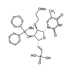 COCCO[C@@H]1[C@H](O[Si](c2ccccc2)(c2ccccc2)C(C)(C)C)[C@@H](/C=C/P(=O)(O)O)O[C@H]1n1cc(C)c(=O)[nH]c1=O